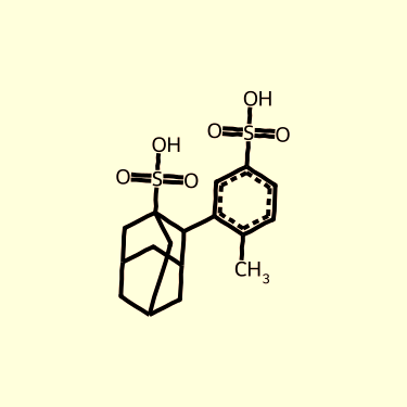 Cc1ccc(S(=O)(=O)O)cc1C1C2CC3CC(C2)CC1(S(=O)(=O)O)C3